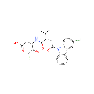 CC(C)[C@H](CC(=O)n1c2ccccc2c2cc(Cl)ccc21)C(=O)NC(CC(=O)O)C(=O)CF